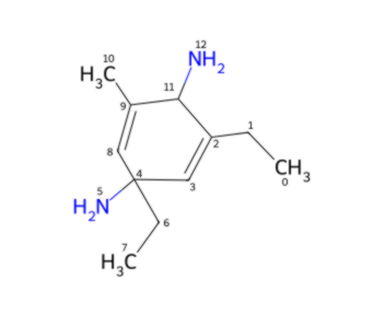 CCC1=CC(N)(CC)C=C(C)C1N